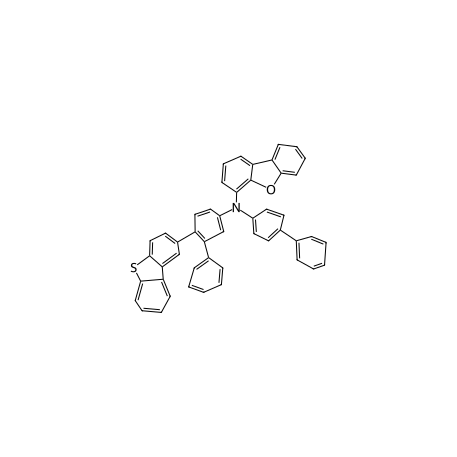 c1ccc(-c2ccc(N(c3ccc(-c4ccc5sc6ccccc6c5c4)c(-c4ccccc4)c3)c3cccc4c3oc3ccccc34)cc2)cc1